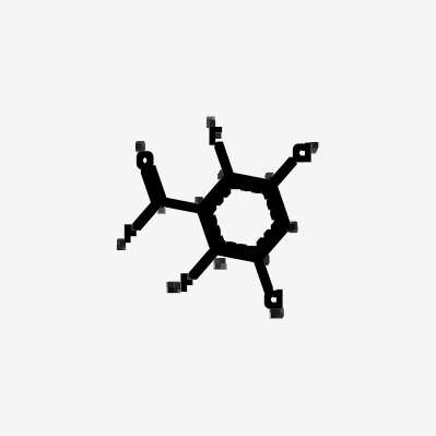 O=C(F)c1c(F)c(Cl)cc(Cl)c1F